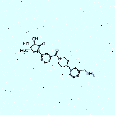 C[C@@]1(O)CN(c2cccc(C(=O)N3CCC(c4cccc(CN)c4)CC3)c2)C(=O)[C@@H]1O